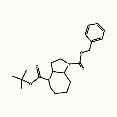 CC(C)(C)OC(=O)N1CCCCC2C1CCN2C(=O)OCc1ccccc1